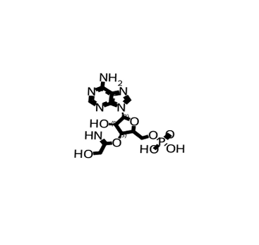 N=C(CO)O[C@@H]1C(COP(=O)(O)O)O[C@@H](n2cnc3c(N)ncnc32)[C@@H]1O